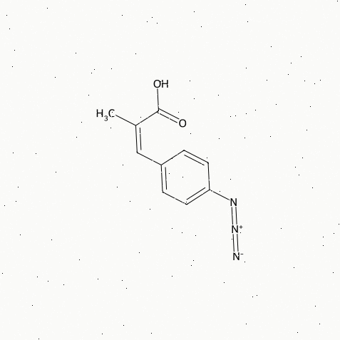 CC(=Cc1ccc(N=[N+]=[N-])cc1)C(=O)O